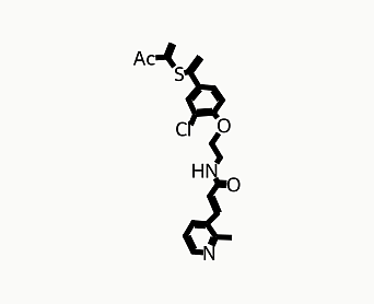 C=C(SC(=C)c1ccc(OCCNC(=O)/C=C/c2cccnc2C)c(Cl)c1)C(C)=O